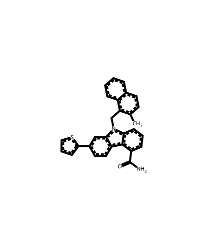 Cc1ccc2ccccc2c1Cn1c2cc(-c3cccs3)c[c]c2c2c(C(N)=O)cccc21